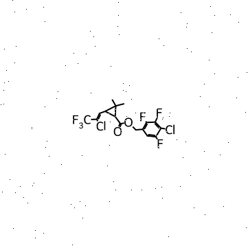 CC1(C)C(C=C(Cl)C(F)(F)F)C1C(=O)OCc1cc(F)c(Cl)c(F)c1F